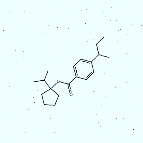 CCC(C)c1ccc(C(=O)OC2(C(C)C)CCCC2)cc1